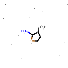 NC1SCCC1C(=O)O